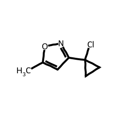 Cc1cc(C2(Cl)CC2)no1